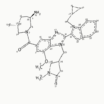 COc1cc(C(=O)N2C[C@H](N)C[C@@H](F)C2)cc2nc(-c3cc4ccccc4n3CC3CC3)n(CC3CC(=O)N(C)C3)c12